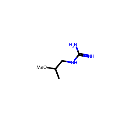 COC(C)CNC(=N)N